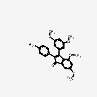 COc1cc(OC)cc(C2=C(c3ccc(C)cc3)C(=O)c3cc(OC)cc(OC)c32)c1